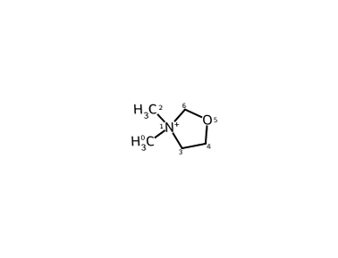 C[N+]1(C)CCOC1